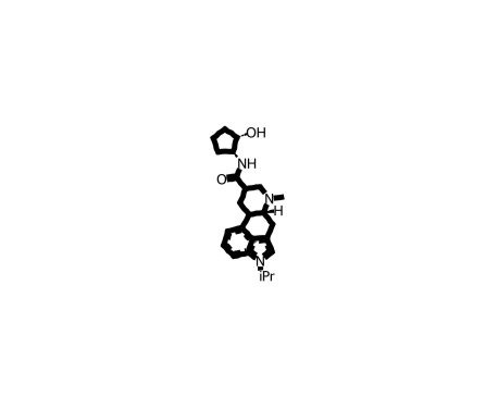 CC(C)n1cc2c3c(cccc31)C1CC(C(=O)N[C@@H]3CCC[C@@H]3O)CN(C)[C@@H]1C2